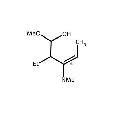 C/C=C(/NC)C(CC)C(O)OC